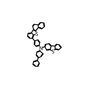 c1ccc(-c2ccc(N(c3ccc(-c4cccc5c4sc4c6ccccc6ccc54)cc3)c3ccc4c(c3)sc3ccccc34)cc2)cc1